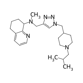 CC(C)CN1CCC(Cn2cc(CN(C)C3CCCc4cccnc43)nn2)CC1